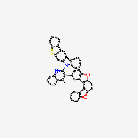 Cc1c(-c2ccc3oc4ccc5oc6ccccc6c5c4c3c2)c(-n2c3ccccc3c3cc4c(cc32)sc2ccccc24)nc2ccccc12